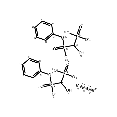 O=P([O-])([O-])C(O)P(=O)([O-])Oc1ccccc1.O=P([O-])([O-])C(O)P(=O)([O-])Oc1ccccc1.[Mg+2].[Mg+2].[Mg+2]